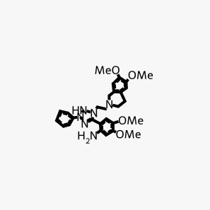 COc1cc(N)c(C2=NN(c3ccccc3)NN2CCN2CCc3cc(OC)c(OC)cc3C2)cc1OC